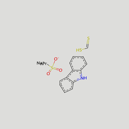 CCCS(=O)(=O)[O-].S=CS.[Na+].c1ccc2c(c1)[nH]c1ccccc12